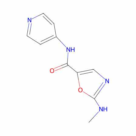 CNc1ncc(C(=O)Nc2ccncc2)o1